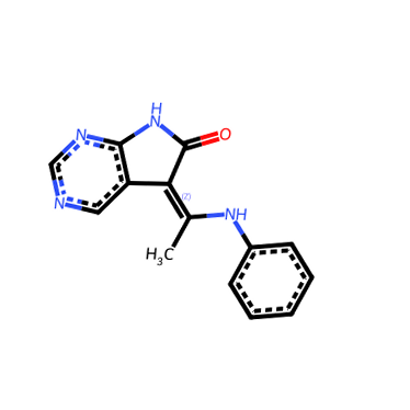 C/C(Nc1ccccc1)=C1/C(=O)Nc2ncncc21